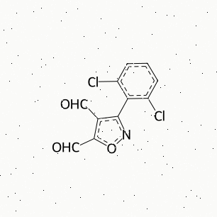 O=Cc1onc(-c2c(Cl)cccc2Cl)c1C=O